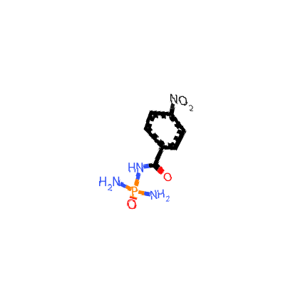 NP(N)(=O)NC(=O)c1ccc([N+](=O)[O-])cc1